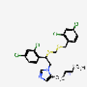 Clc1ccc(CSCSC(Cn2ccnc2)c2ccc(Cl)cc2Cl)c(Cl)c1.O=C(O)/C=C/C(=O)O